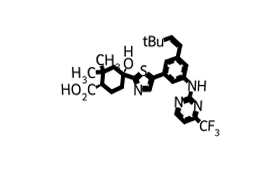 CC(C)(C)/C=C\c1cc(Nc2nccc(C(F)(F)F)n2)cc(-c2cnc([C@@]3(O)CC[C@@H](C(=O)O)C(C)(C)C3)s2)c1